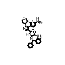 CCNc1ccc(-c2c(C(=O)N[C@H]3N=C(c4ccccc4)c4cccc(F)c4NC3=O)cnn2C2CCOCC2)c(F)n1